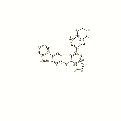 COc1ccccc1-c1ccc(Cc2cc(C(=O)N[C@H]3CCCC[C@@H]3O)nn3cccc23)cc1